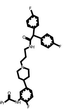 CC(C)C(=O)Nc1cc(C2CCN(CCCNC(=O)C(c3ccc(F)cc3)c3ccc(F)cc3)CC2)ccc1F